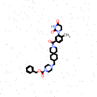 Cc1ccc(C(=O)N2CCC3(CCC(CN4CCN(C(=O)OCc5ccccc5)CC4)CC3)CC2)cc1N1CCC(=O)NC1=O